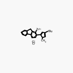 CC1C=C(C(C)(C)C)C=C1c1ccc2c([c]1[Zr+2])Cc1ccccc1-2.[Cl-].[Cl-]